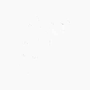 C=C(NC(C)c1nc2cc(Cl)ccc2[nH]1)c1cc(Cl)c(C(=O)N2CCC[C@H]2C(=O)N(C)C)cc1/N=C\N